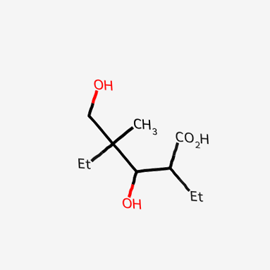 CCC(C(=O)O)C(O)C(C)(CC)CO